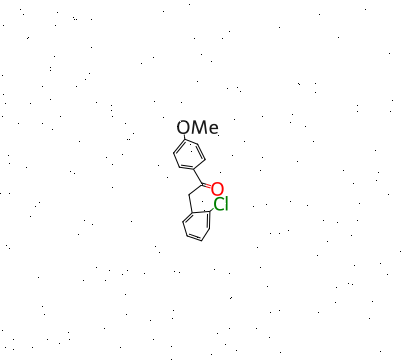 COc1ccc(C(=O)Cc2ccccc2Cl)cc1